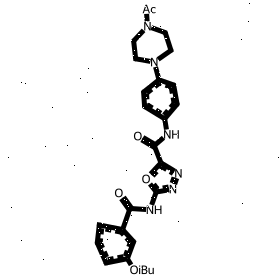 CC(=O)N1CCN(c2ccc(NC(=O)c3nnc(NC(=O)c4cccc(OCC(C)C)c4)o3)cc2)CC1